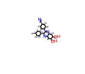 Cc1ccc(-c2nc3cc(O)c(O)cc3nc2-c2ccc(C#N)cc2)cc1